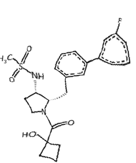 CS(=O)(=O)N[C@H]1CCN(C(=O)C2(O)CCC2)[C@H]1Cc1cccc(-c2cccc(F)c2)c1